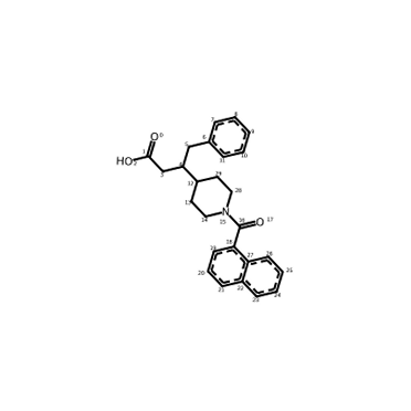 O=C(O)CC(Cc1ccccc1)C1CCN(C(=O)c2cccc3ccccc23)CC1